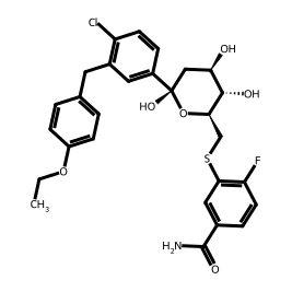 CCOc1ccc(Cc2cc([C@]3(O)C[C@@H](O)[C@H](O)[C@@H](CSc4cc(C(N)=O)ccc4F)O3)ccc2Cl)cc1